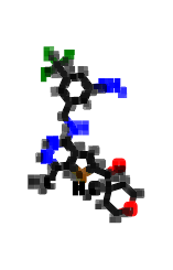 Cc1nnc(NCc2cc(N)cc(C(F)(F)F)c2)c2cc(C(=O)C3(C)CCOCC3)sc12